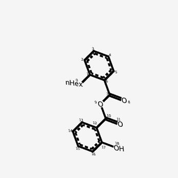 CCCCCCc1ccccc1C(=O)OC(=O)c1ccccc1O